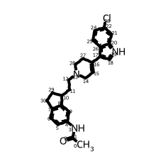 CC(=O)Nc1ccc2c(c1)C(CCN1CC=C(c3c[nH]c4cc(Cl)ccc34)CC1)CC2